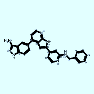 Nc1n[nH]c2ccc(-c3ccnc4[nH]c(-c5ccnc(NCc6ccccc6)c5)cc34)cc12